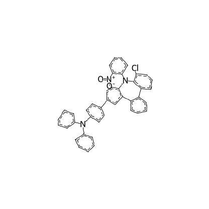 O=[N+]([O-])c1ccccc1N1c2ccc(-c3ccc(N(c4ccccc4)c4ccccc4)cc3)cc2-c2ccccc2-c2cccc(Cl)c21